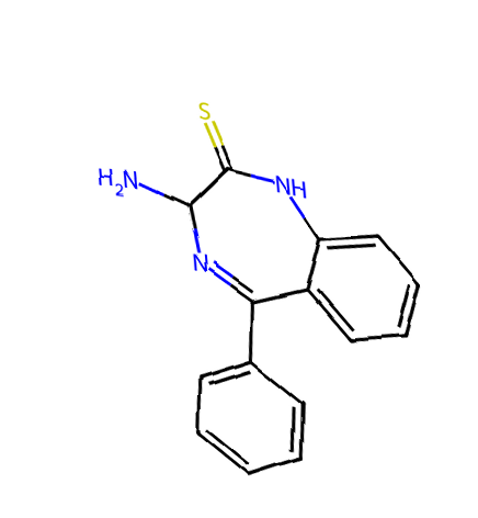 NC1N=C(c2ccccc2)c2ccccc2NC1=S